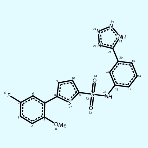 COc1ccc(F)cc1-c1ccc(S(=O)(=O)Nc2cccc(-c3nnn[nH]3)c2)s1